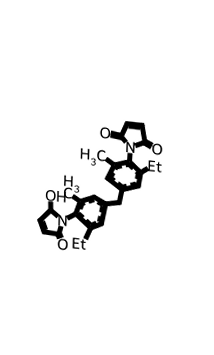 CCc1cc(Cc2cc(C)c(N3C(=O)C=CC3O)c(CC)c2)cc(C)c1N1C(=O)C=CC1=O